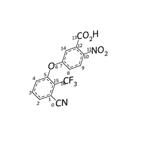 N#Cc1cccc(Oc2ccc([N+](=O)[O-])c(C(=O)O)c2)c1C(F)(F)F